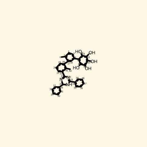 Cc1ccc(-c2c(O)c(O)c(O)c(O)c2O)cc1-c1cccc(C2=NC(c3ccccc3)NC(c3ccccc3)=N2)c1C